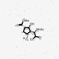 CCC(CC)[C@H](NC(C)=O)[C@@H]1[C@H](O)[C@@H](C(=O)OC)C[C@H]1C